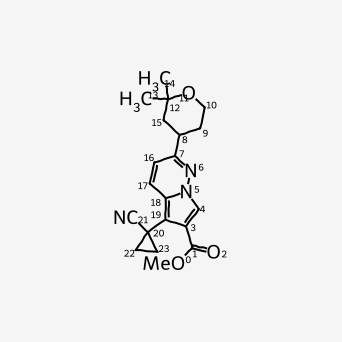 COC(=O)c1cn2nc(C3CCOC(C)(C)C3)ccc2c1C1(C#N)CC1